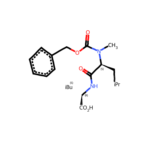 CC[C@H](C)[C@@H](NC(=O)[C@H](CC(C)C)N(C)C(=O)OCc1ccccc1)C(=O)O